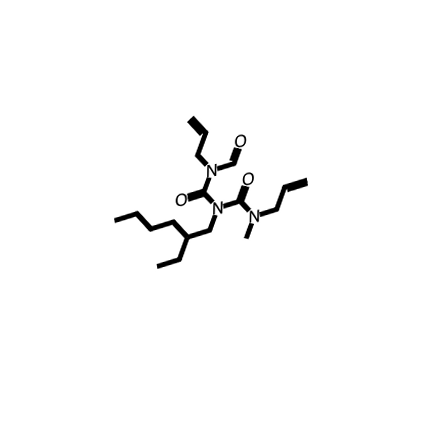 C=CCN(C)C(=O)N(CC(CC)CCCC)C(=O)N(C=O)CC=C